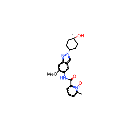 COc1cc2nn([C@H]3CC[C@](C)(O)CC3)cc2cc1NC(=O)c1cccc(C)[n+]1[O-]